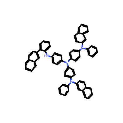 c1ccc(N(c2ccc(N(c3ccc(Nc4ccccc4-c4ccc5ccccc5c4)cc3)c3ccc(N(c4ccccc4)c4ccc5ccccc5c4)cc3)cc2)c2ccc3ccccc3c2)cc1